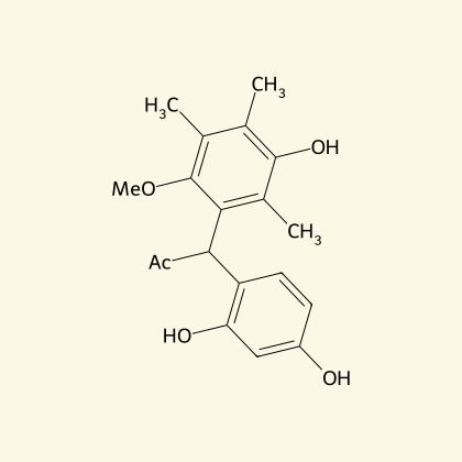 COc1c(C)c(C)c(O)c(C)c1C(C(C)=O)c1ccc(O)cc1O